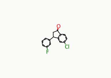 O=C1CC(c2cccc(F)c2)c2cc(Cl)ccc21